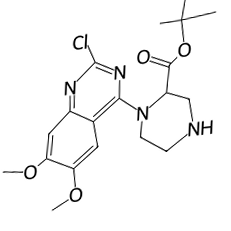 COc1cc2nc(Cl)nc(N3CCNCC3C(=O)OC(C)(C)C)c2cc1OC